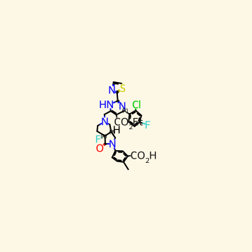 CCOC(=O)C1=C(CN2CC[C@]3(F)C(=O)N(c4ccc(C)c(C(=O)O)c4)C[C@@H]3C2)NC(c2nccs2)=N[C@H]1c1ccc(F)cc1Cl